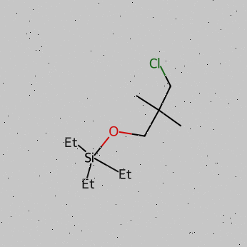 CC[Si](CC)(CC)OCC(C)(C)CCl